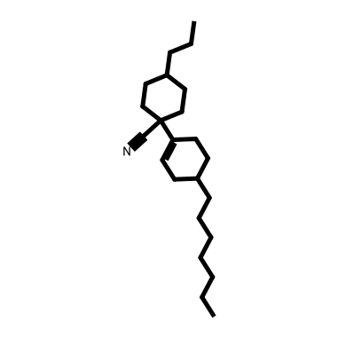 CCCCCCCC1CC=C(C2(C#N)CCC(CCC)CC2)CC1